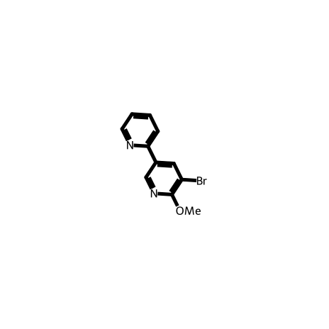 COc1ncc(-c2ccccn2)cc1Br